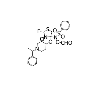 CC(c1ccccc1)N1CCC(O[C@@]2(N(OC=O)S(=O)(=O)c3ccccc3)CS[C@@H](F)N2Cl)CC1